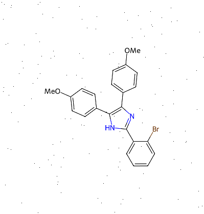 COc1ccc(-c2nc(-c3ccccc3Br)[nH]c2-c2ccc(OC)cc2)cc1